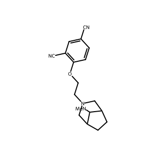 CNC1C2CCC1CN(CCOc1ccc(C#N)cc1C#N)C2